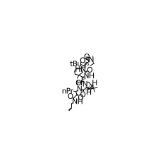 C=CCNC(=O)C(=O)C(CCC)NC(=O)[C@@H]1[C@@H]2[C@H](CN1C(=O)[C@@H](NC(=O)N[C@H]([C@H]1CCN(C)S1(=O)=O)C(C)(C)C)C1(C)CCCCC1)C2(C)C